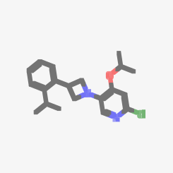 CC(C)Oc1cc(Cl)ncc1N1CC(c2ccccc2C(C)C)C1